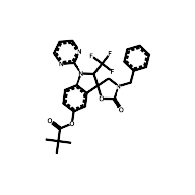 CC(C)(C)C(=O)Oc1ccc2c(c1)C1(CN(Cc3ccccc3)C(=O)O1)C(C(F)(F)F)N2c1ncccn1